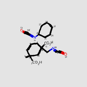 CC1(C(=O)O)C=CCC(CN=C=O)(C(=O)O)C1.O=C=NC1CCCCC1